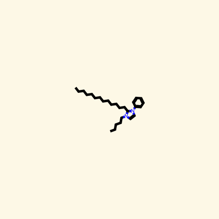 CCCCCCCCCCCCCC1N(CCCCC)C=CN1c1ccccc1